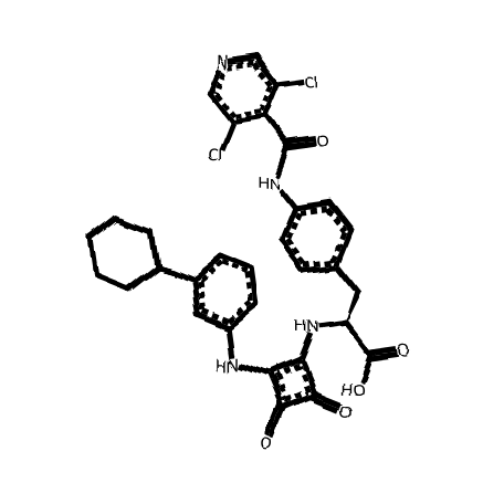 O=C(Nc1ccc(C[C@H](Nc2c(Nc3cccc(C4CCCCC4)c3)c(=O)c2=O)C(=O)O)cc1)c1c(Cl)cncc1Cl